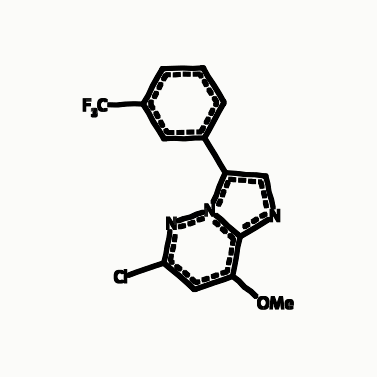 COc1cc(Cl)nn2c(-c3cccc(C(F)(F)F)c3)cnc12